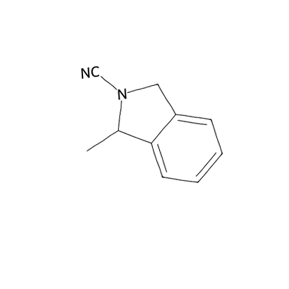 CC1c2ccccc2CN1C#N